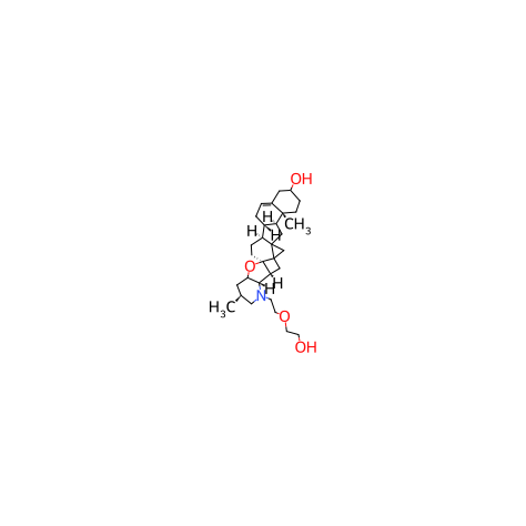 C[C@H]1CC2O[C@@]34CC[C@H]5[C@@H]6CC=C7CC(O)CC[C@]7(C)[C@H]6CC56CC63C[C@@H]4[C@@H]2N(CCOCCO)C1